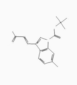 Cc1ccc2c(/C=C/C(=O)O)cn(C(=O)OC(C)(C)C)c2c1